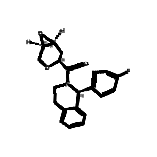 O=C([C@@H]1C[C@@H]2O[C@@H]2CO1)N1CCc2ccccc2[C@@H]1c1ccc(F)cc1